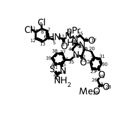 CCCN(C(=O)NCC1=CC(Cl)C(Cl)C=C1)N1CC(=O)N2[C@@H](Cc3ccc(OCC(=O)OC)cc3)C(=O)N(Cc3cccc4sc(N)nc34)C[C@@H]21